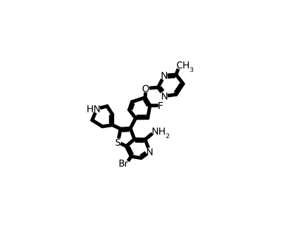 Cc1ccnc(Oc2ccc(-c3c(C4=CCNCC4)sc4c(Br)cnc(N)c34)cc2F)n1